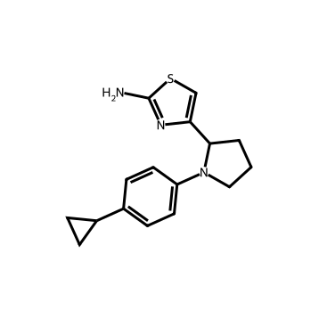 Nc1nc(C2CCCN2c2ccc(C3CC3)cc2)cs1